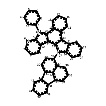 c1ccc(-n2c3ncccc3c3c4c(c5ccccc5c32)c2ccccc2n4-c2ccc3c4c(cccc24)-c2ccccc2-3)cc1